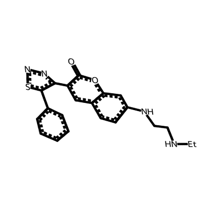 CCNCCNc1ccc2cc(-c3nnsc3-c3ccccc3)c(=O)oc2c1